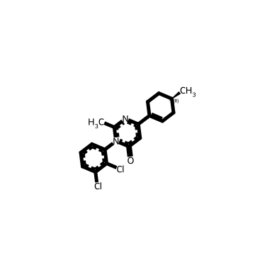 Cc1nc(C2=CC[C@H](C)CC2)cc(=O)n1-c1cccc(Cl)c1Cl